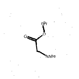 [CH2]NCC(=O)OCCC